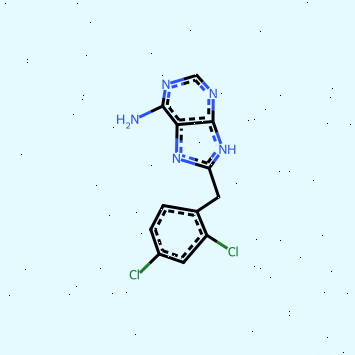 Nc1ncnc2[nH]c(Cc3ccc(Cl)cc3Cl)nc12